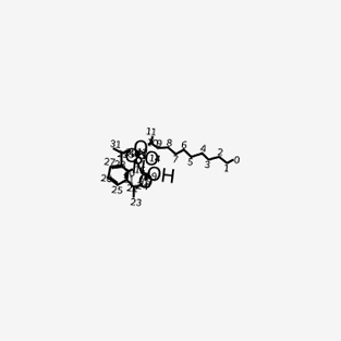 CCCCCCCCCCC(C)OS(=O)(=O)N(C(=O)O)c1c(C(C)C)cccc1C(C)C